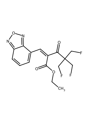 CCOC(=O)C(=Cc1cccc2nonc12)C(=O)C(CF)(CF)CF